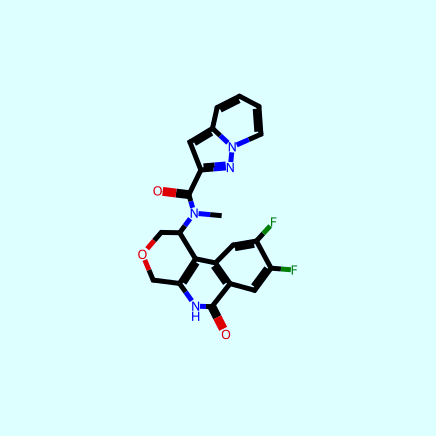 CN(C(=O)c1cc2ccccn2n1)C1COCc2[nH]c(=O)c3cc(F)c(F)cc3c21